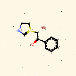 Br.O=C(CS1=CNCC1)c1ccccc1